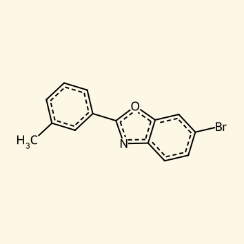 Cc1cccc(-c2nc3ccc(Br)cc3o2)c1